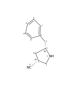 N#C[C@H]1CN[C@@H](Cc2ccccc2)C1